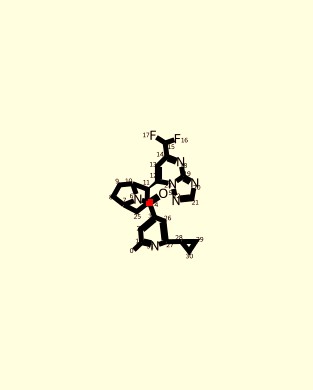 Cc1cc(C(=O)N2C3CCC2[C@@H](c2cc(C(F)F)nc4ncnn24)CC3)cc(C2CC2)n1